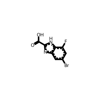 O=C(O)c1nc2cc(Br)cc(F)c2[nH]1